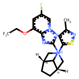 Cc1cc(N2C[C@H]3CC[C@@H](C2)C3Nc2nc3c(OCC(F)(F)F)cc(F)cn3n2)sn1